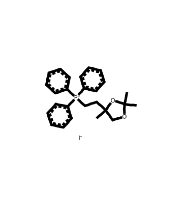 CC1(CC[P+](c2ccccc2)(c2ccccc2)c2ccccc2)COC(C)(C)O1.[I-]